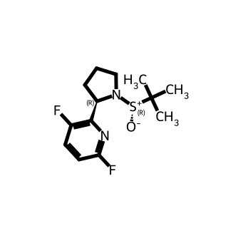 CC(C)(C)[S@+]([O-])N1CCC[C@@H]1c1nc(F)ccc1F